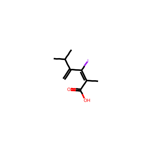 C=C(C(I)=C(C)C(=O)O)C(C)C